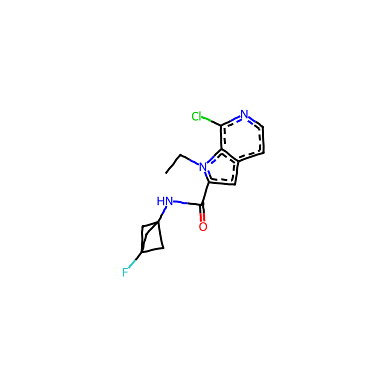 CCn1c(C(=O)NC23CC(F)(C2)C3)cc2ccnc(Cl)c21